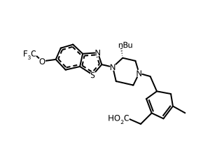 CCCC[C@@H]1CN(CC2C=C(CC(=O)O)C=C(C)C2)CCN1c1nc2ccc(OC(F)(F)F)cc2s1